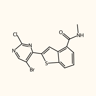 CNC(=O)c1cccc2sc(-c3nc(Cl)ncc3Br)cc12